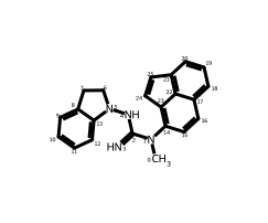 CN(C(=N)NN1CCc2ccccc21)c1ccc2cccc3c2c1C=C3